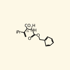 C=C(C(C)C)[C@H](NC(=O)OCc1ccccc1)C(=O)O